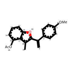 C=C(c1ccc(OC)cc1)c1oc2cccc(OC(C)=O)c2c1C